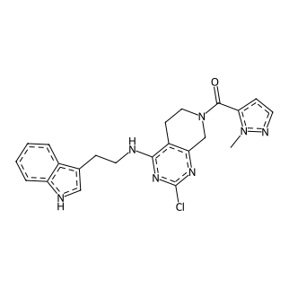 Cn1nccc1C(=O)N1CCc2c(nc(Cl)nc2NCCc2c[nH]c3ccccc23)C1